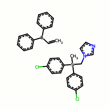 C=CB(c1ccccc1)c1ccccc1.C[Si](Cn1ccnc1)(c1ccc(Cl)cc1)c1ccc(Cl)cc1